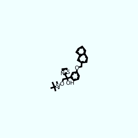 CC(C)(C)[Si](C)(C)OCC(O)(c1cccc(OCc2ccc3ccccc3c2)c1)c1nccs1